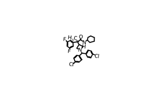 C[C@@](C(=O)NC1CCCCC1)(c1cc(F)cc(F)c1)C1CN(C(c2ccc(Cl)cc2)c2ccc(Cl)cc2)C1